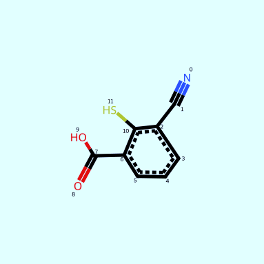 N#Cc1cccc(C(=O)O)c1S